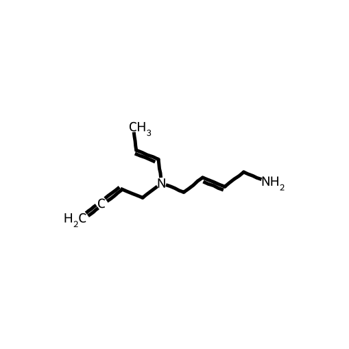 C=C=CCN(C=CC)C/C=C/CN